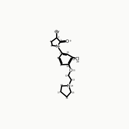 O=C1C(Br)CCN1c1ccc(OCCN2CCCC2)c(Cl)c1